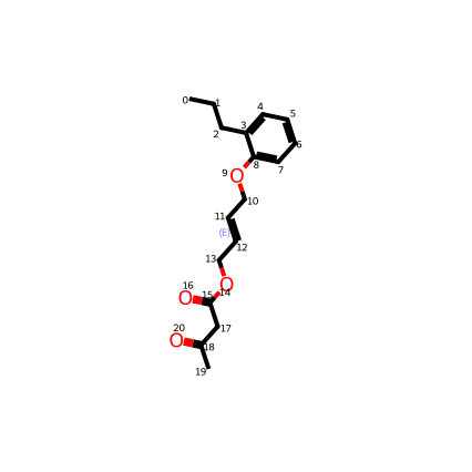 CCCc1ccccc1OC/C=C/COC(=O)CC(C)=O